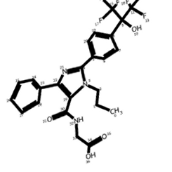 CCCn1c(-c2ccc(C(O)(C(F)(F)F)C(F)(F)F)cc2)nc(-c2ccccc2)c1C(=O)NCC(=O)O